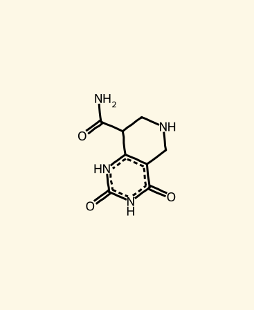 NC(=O)C1CNCc2c1[nH]c(=O)[nH]c2=O